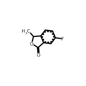 CC1OC(=O)c2cc(F)ccc21